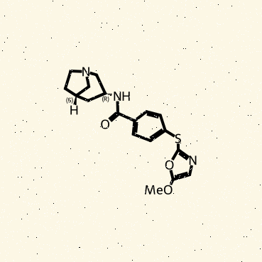 COc1cnc(Sc2ccc(C(=O)N[C@@H]3C[C@@H]4CCN(C4)C3)cc2)o1